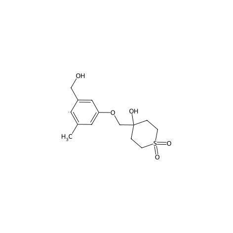 Cc1[c]c(CO)cc(OCC2(O)CCS(=O)(=O)CC2)c1